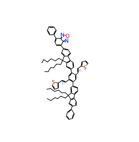 CCCCCCC1(CCCCCC)c2cc(-c3ccccc3)ccc2-c2ccc(-c3cc(/C=C/c4cccs4)c(-c4ccc5c(c4)C(CCCCCC)(CCCCCC)c4cc(-c6ccc(-c7ccccc7)c7nonc67)ccc4-5)cc3/C=C/c3cccs3)cc21